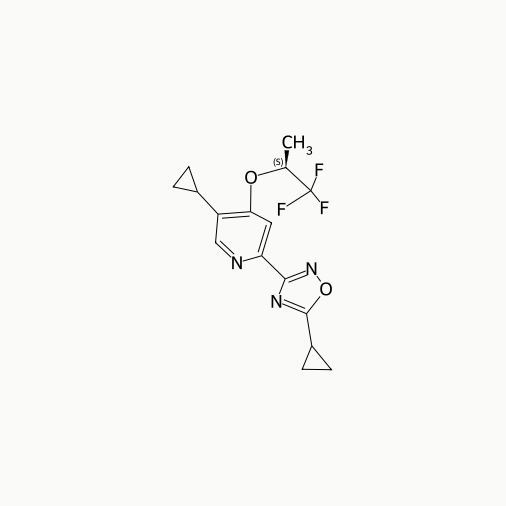 C[C@H](Oc1cc(-c2noc(C3CC3)n2)ncc1C1CC1)C(F)(F)F